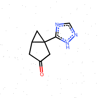 O=C1CC2CC2(c2ncn[nH]2)C1